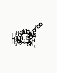 COC1/C=C\C=C(/C)C(=O)NC2=CC(=O)C(NC(=O)c3ccc(CN4CCc5ccccc5C4)cc3)=C(C[C@@H](C)C[C@H](OC)[C@H](O)[C@@H](C)/C=C(\C)[C@@H]1OC(N)=O)C2=O